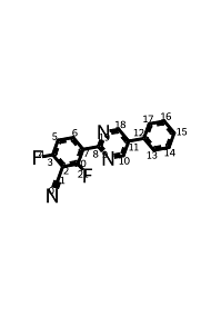 N#Cc1c(F)ccc(-c2ncc(-c3ccccc3)cn2)c1F